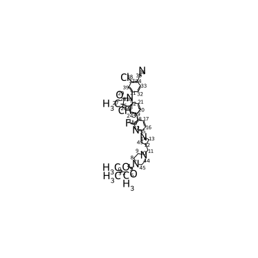 CC(C)(C)OC(=O)N1CCN(CC2CN(c3ccc(-c4ccc5c(c4)C(C)(C)C(=O)N5c4ccc(C#N)c(Cl)c4)c(F)n3)C2)CC1